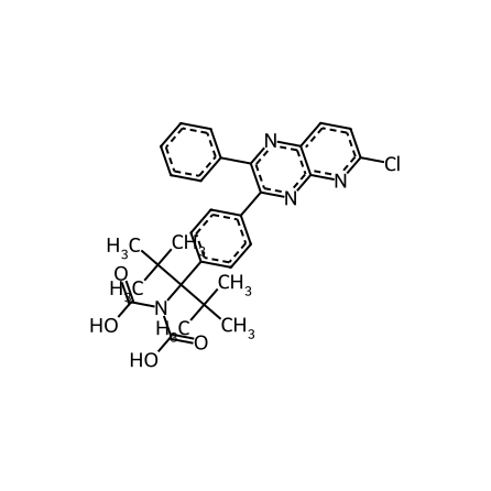 CC(C)(C)C(c1ccc(-c2nc3nc(Cl)ccc3nc2-c2ccccc2)cc1)(N(C(=O)O)C(=O)O)C(C)(C)C